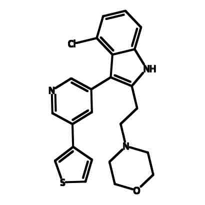 Clc1cccc2[nH]c(CCN3CCOCC3)c(-c3cncc(-c4ccsc4)c3)c12